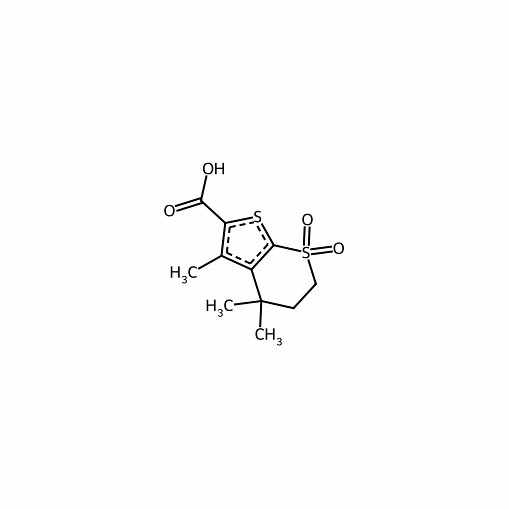 Cc1c(C(=O)O)sc2c1C(C)(C)CCS2(=O)=O